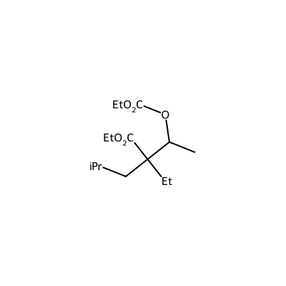 CCOC(=O)OC(C)C(CC)(CC(C)C)C(=O)OCC